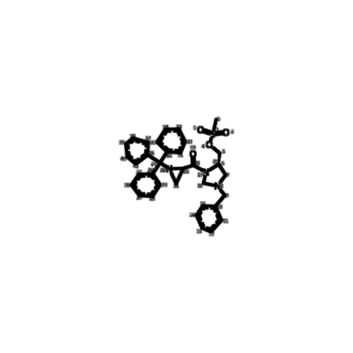 CS(=O)(=O)OC[C@H]1CN(Cc2ccccc2)CN1C(=O)C1CN1C(c1ccccc1)(c1ccccc1)c1ccccc1